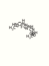 Cc1cc2c(F)c(Nc3ccnc(Nc4ccc(NS(C)(=O)=O)nc4)n3)ccc2[nH]1